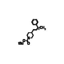 C[C@@H](C=CC1CCN(C(=O)OC(C)(C)C)CC1)c1ccccc1